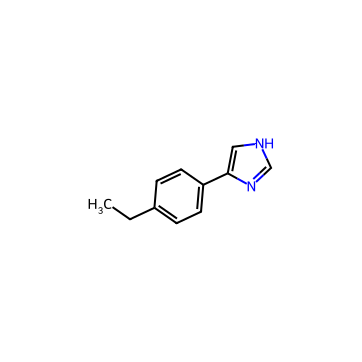 CCc1ccc(-c2c[nH]cn2)cc1